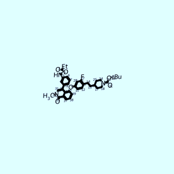 CCS(=O)(=O)Nc1ccc(Oc2ccc(CCC3CCN(C(=O)OC(C)(C)C)CC3)c(F)c2)c(-c2cn(C)c(=O)c3ccccc23)c1